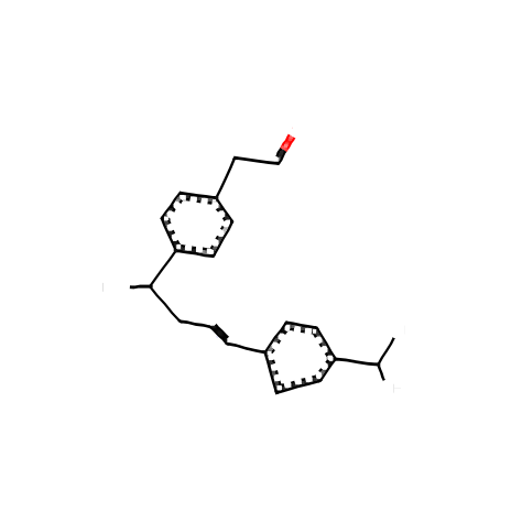 CC(C)c1ccc(/C=C/CC(C)c2ccc(CC=O)cc2)cc1